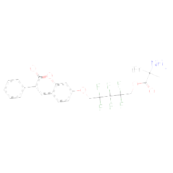 CC(C)C(C)(N)C(=O)OCC(F)(F)C(F)(F)C(F)(F)COc1ccc2cc(-c3ccccc3)c(=O)oc2c1